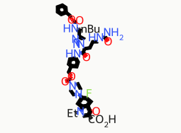 CCCC[C@H](NC(=O)OCc1ccccc1)c1cn(C(CCCNC(N)=O)C(=O)Nc2ccc(COC(=O)N3CCN(c4cc5c(cc4F)c(=O)c(C(=O)O)cn5CC)CC3)cc2)nn1